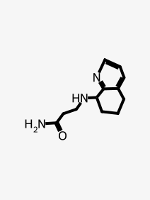 NC(=O)CCNC1CCCc2cccnc21